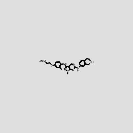 COCCOc1ccc(Nc2nn(C)c3nc(Nc4ccc5c(c4)CNCC5)ncc23)c(C)c1